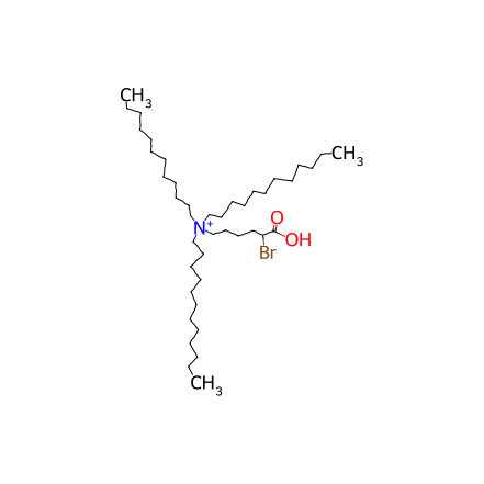 CCCCCCCCCCCC[N+](CCCCCCCCCCCC)(CCCCCCCCCCCC)CCCCC(Br)C(=O)O